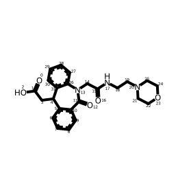 O=C(O)CC1c2ccccc2C(=O)N(CC(=O)NCCN2CCOCC2)c2ccccc21